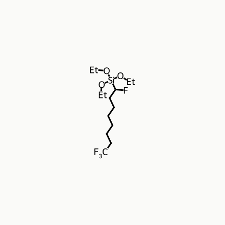 CCO[Si](OCC)(OCC)C(F)CCCCCCC(F)(F)F